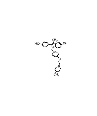 Cc1c(-c2ccc(O)cc2)n(Cc2ccc(OCCN3CCC(C)CC3)cc2)c2ccc(O)cc12